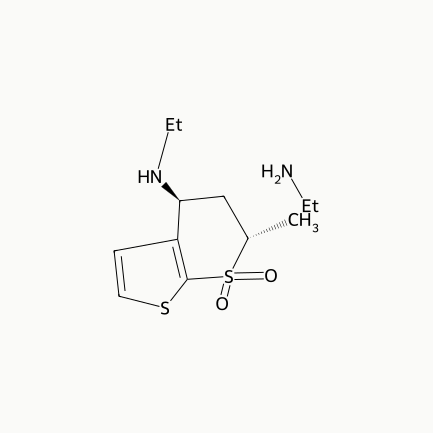 CCN.CCN[C@H]1C[C@H](C)S(=O)(=O)c2sccc21